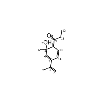 C=C(C)C1=CC(C)(O)C(C(=O)CC)C=C1